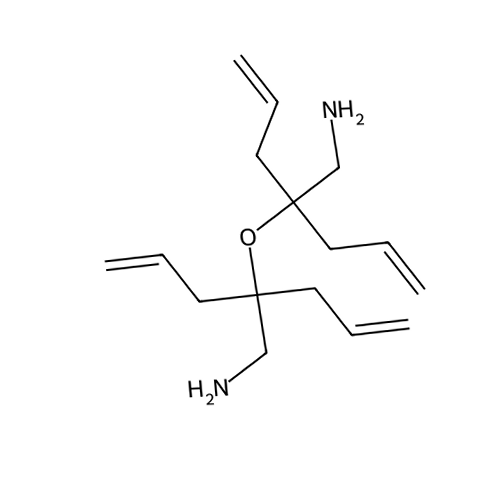 C=CCC(CN)(CC=C)OC(CN)(CC=C)CC=C